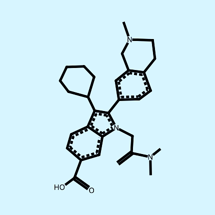 C=C(Cn1c(-c2ccc3c(c2)CN(C)CC3)c(C2CCCCC2)c2ccc(C(=O)O)cc21)N(C)C